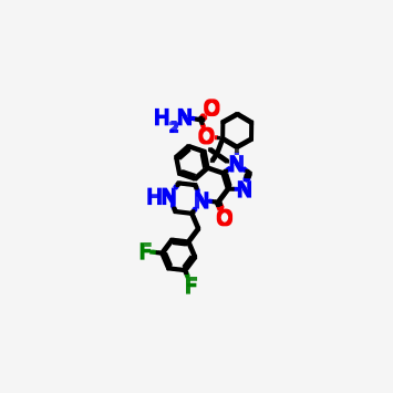 CC(C)(C)[C@@]1(OC(N)=O)CCCC[C@@H]1n1cnc(C(=O)N2CCNCC2Cc2cc(F)cc(F)c2)c1-c1ccccc1